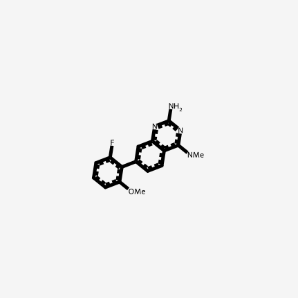 CNc1nc(N)nc2cc(-c3c(F)cccc3OC)ccc12